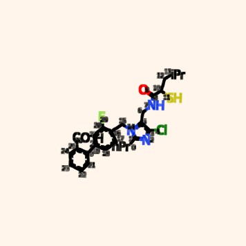 CCCc1nc(Cl)c(CNC(=O)C(S)CC(C)C)n1Cc1ccc(-c2ccccc2C(=O)O)cc1F